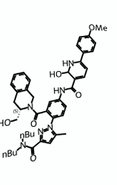 CCCCN(CCCC)C(=O)c1cc(C)n(-c2ccc(NC(=O)C3=CC=C(c4ccc(OC)cc4)NC3O)cc2C(=O)N2Cc3ccccc3C[C@H]2CO)n1